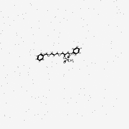 CS(=O)(=O)OC(COCCCOCc1ccccc1)COc1ccccc1